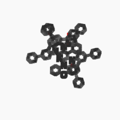 c1ccc(-c2ccc3c(c2)c2cc(-c4ccccc4)ccc2n3-c2nc(N3c4ccccc4Oc4ccccc43)c(-n3c4ccc(-c5ccccc5)cc4c4cc(-c5ccccc5)ccc43)c(-c3cccc4c3sc3ccccc34)c2-n2c3ccc(-c4ccccc4)cc3c3cc(-c4ccccc4)ccc32)cc1